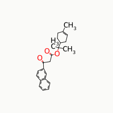 CC1=CCC(C(C)(C)OC(=O)CC(=O)c2ccc3ccccc3c2)CC1